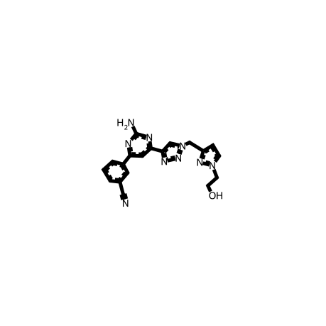 N#Cc1cccc(-c2cc(-c3cn(Cc4ccn(CCO)n4)nn3)nc(N)n2)c1